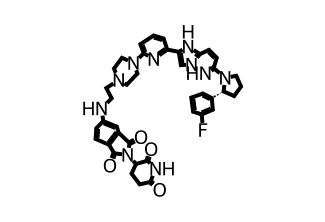 N=C(/C=C\c1ncc(-c2cccc(N3CCN(CCNc4ccc5c(c4)C(=O)N(C4CCC(=O)NC4=O)C5=O)CC3)n2)[nH]1)N1CCC[C@@H]1c1cccc(F)c1